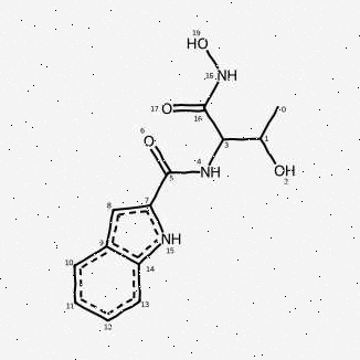 CC(O)C(NC(=O)c1cc2ccccc2[nH]1)C(=O)NO